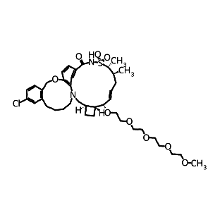 COCCOCCOCCOCCO[C@H]1/C=C/C[C@H](C)[C@@H](C)S(=O)(=O)NC(=O)c2ccc3c(c2)N(CCCCc2cc(Cl)ccc2CO3)C[C@@H]2CC[C@H]21